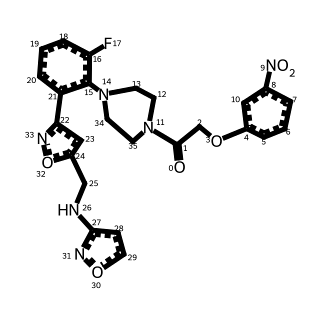 O=C(COc1cccc([N+](=O)[O-])c1)N1CCN(c2c(F)cccc2-c2cc(CNc3ccon3)on2)CC1